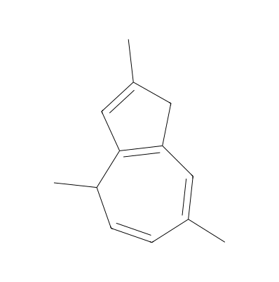 CC1=CC2=C(C=C(C)C2)C(C)C=C1